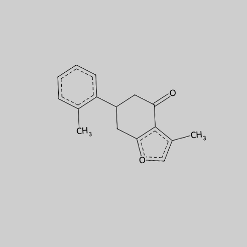 Cc1ccccc1C1CC(=O)c2c(C)coc2C1